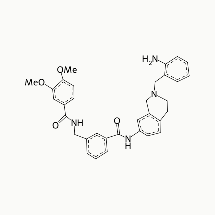 COc1ccc(C(=O)NCc2cccc(C(=O)Nc3ccc4c(c3)CN(Cc3ccccc3N)CC4)c2)cc1OC